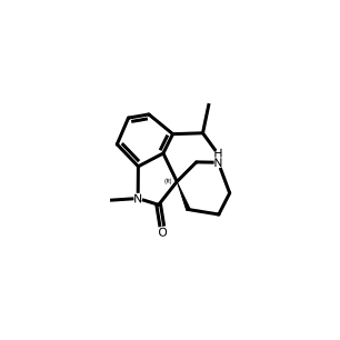 CC(C)c1cccc2c1[C@@]1(CCCNC1)C(=O)N2C